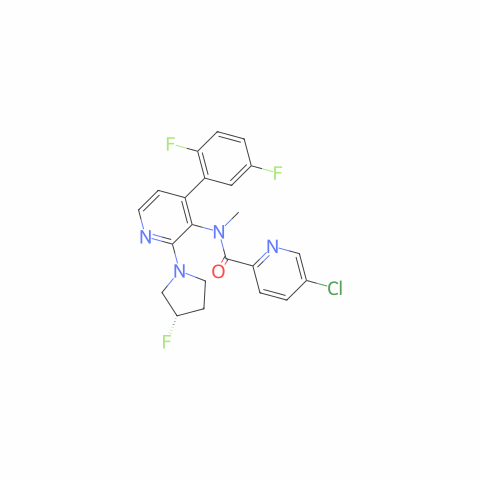 CN(C(=O)c1ccc(Cl)cn1)c1c(-c2cc(F)ccc2F)ccnc1N1CC[C@H](F)C1